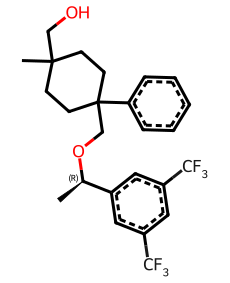 C[C@@H](OCC1(c2ccccc2)CCC(C)(CO)CC1)c1cc(C(F)(F)F)cc(C(F)(F)F)c1